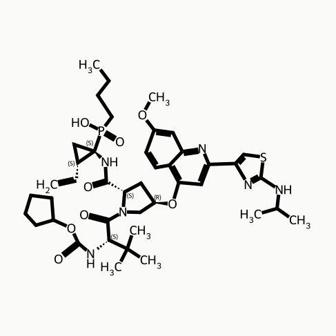 C=C[C@@H]1C[C@]1(NC(=O)[C@@H]1C[C@@H](Oc2cc(-c3csc(NC(C)C)n3)nc3cc(OC)ccc23)CN1C(=O)[C@@H](NC(=O)OC1CCCC1)C(C)(C)C)P(=O)(O)CCCC